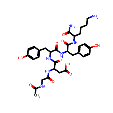 CC(=O)NCC(=O)NC(CC(=O)O)C(=O)NC(Cc1ccc(O)cc1)C(=O)NC(Cc1ccc(O)cc1)C(=O)NC(CCCCN)C(N)=O